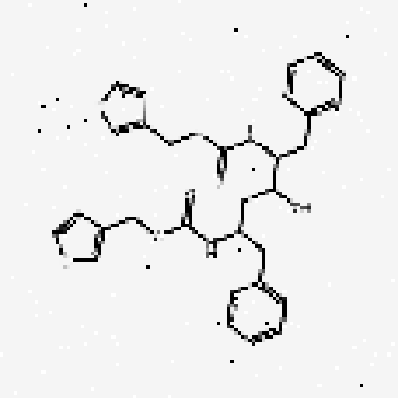 O=C(NC(Cc1ccccc1)CC(O)C(Cc1ccccc1)NC(=O)OCc1ccoc1)OCc1ccoc1